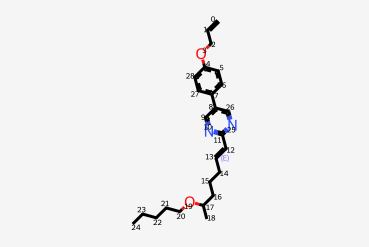 C=CCOc1ccc(-c2cnc(/C=C/CCCC(C)OCCCCC)nc2)cc1